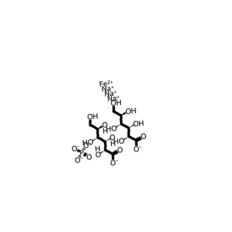 O=C([O-])[C@H](O)[C@@H](O)[C@H](O)[C@H](O)CO.O=C([O-])[C@H](O)[C@@H](O)[C@H](O)[C@H](O)CO.O=P([O-])([O-])[O-].[Fe+2].[Na+].[Na+].[Na+]